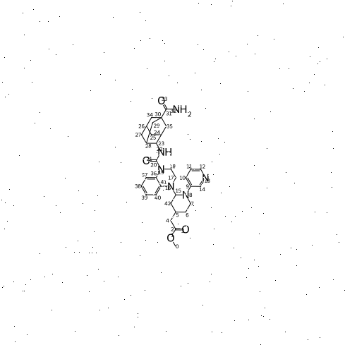 COC(=O)CC1CCN(c2cccnc2)C(N2CCN(C(=O)NC3C4CC5CC3CC(C(N)=O)(C5)C4)c3ccccc32)C1